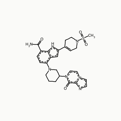 CS(=O)(=O)N1CC=C(c2cc3c(N4CCCC(n5ccn6ccnc6c5=O)C4)ccc(C(N)=O)c3[nH]2)CC1